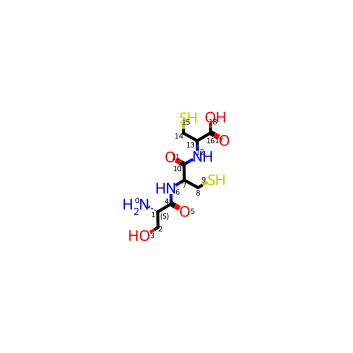 N[C@@H](CO)C(=O)NC(CS)C(=O)NC(CS)C(=O)O